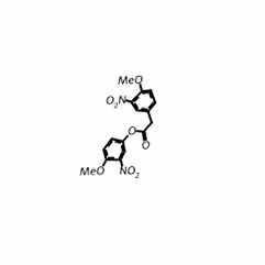 COc1ccc(CC(=O)Oc2ccc(OC)c([N+](=O)[O-])c2)cc1[N+](=O)[O-]